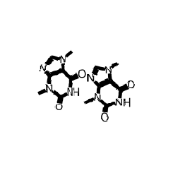 Cn1cnc2c1c(=O)[nH]c(=O)n2C.Cn1cnc2c1c(=O)[nH]c(=O)n2C